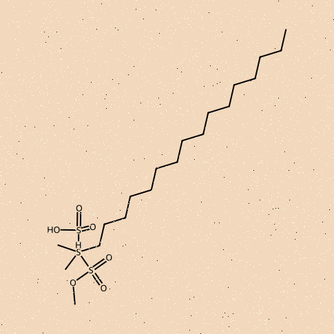 CCCCCCCCCCCCCCCC[SH](C)(C)(S(=O)(=O)O)S(=O)(=O)OC